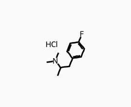 CC(Cc1ccc(F)cc1)N(C)C.Cl